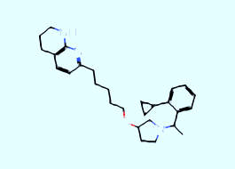 CC(c1ccccc1C1CC1)N1CCC(OCCCCCc2ccc3c(n2)NCCC3)C1